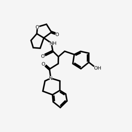 O=C(NC12CCCC1OCC2=O)C(CC(=O)N1CCc2ccccc2C1)Cc1ccc(O)cc1